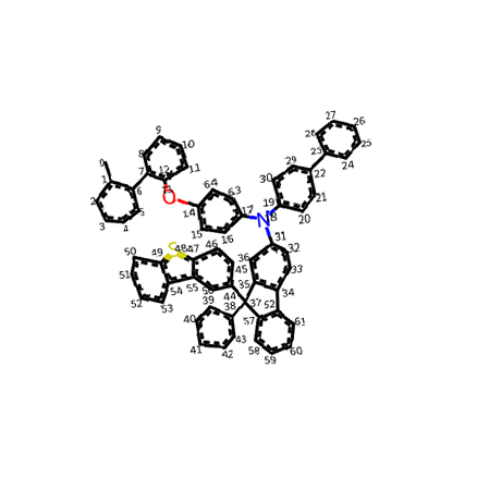 Cc1ccccc1-c1ccccc1Oc1ccc(N(c2ccc(-c3ccccc3)cc2)c2ccc3c(c2)C(c2ccccc2)(c2ccc4sc5ccccc5c4c2)c2ccccc2-3)cc1